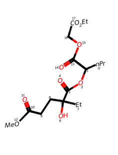 CCCC(OC(=O)C(O)(CC)CCC(=O)OC)C(=O)OCC(=O)OCC